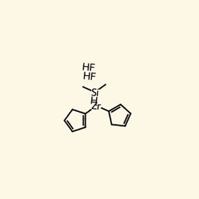 C[SiH](C)[Zr]([C]1=CC=CC1)[C]1=CC=CC1.F.F